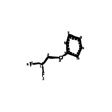 FI(F)COc1ccccc1